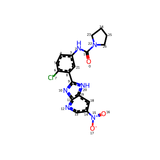 O=C(Nc1ccc(Cl)c(-c2nc3ncc([N+](=O)[O-])cc3[nH]2)c1)N1CCCC1